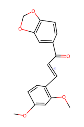 COc1ccc(/C=C/C(=O)c2ccc3c(c2)OCO3)c(OC)c1